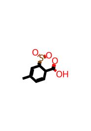 CC1=CC(=S(=O)=O)C(C(=O)O)C=C1